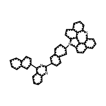 c1ccc2cc(-c3nc(-c4ccc5cc(-n6c7ccc8cccc9sc%10cccc%11ccc6c(c%11%10)c7c89)ccc5c4)nc4ccccc34)ccc2c1